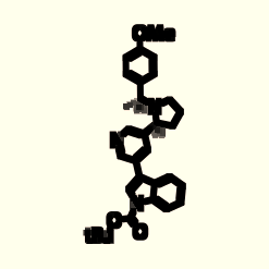 COc1ccc([C@@H](C)N2CCC[C@H]2c2cncc(-c3cn(C(=O)OC(C)(C)C)c4ccccc34)c2)cc1